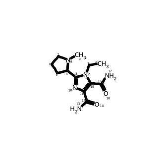 CCn1c(C2CCCN2C)nc(C(N)=O)c1C(N)=O